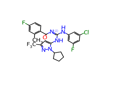 Cc1cc(F)ccc1C(=O)/N=C(/Nc1cc(F)cc(Cl)c1)Nc1cc(C(F)(F)F)nn1C1CCCC1